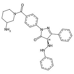 NC1CCCN(C(=O)c2ccc(N3N=C(c4ccccc4)[C@@H](NNc4ccccc4)C3=O)cc2)C1